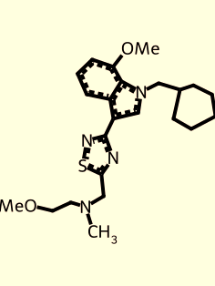 COCCN(C)Cc1nc(-c2cn(CC3CCCCC3)c3c(OC)cccc23)ns1